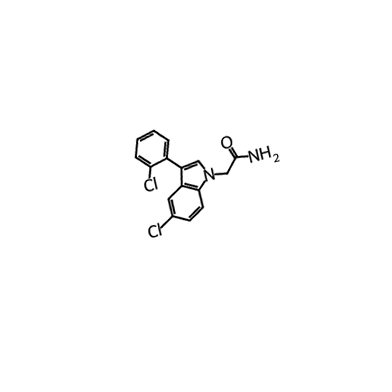 NC(=O)Cn1cc(-c2ccccc2Cl)c2cc(Cl)ccc21